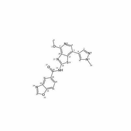 COc1ncc(-c2cnn(C)c2)c2sc(NC(=O)c3ccc4ocnc4c3)nc12